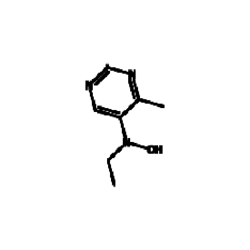 CCN(O)c1cn[c]nc1C